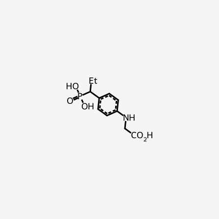 CCC(c1ccc(NCC(=O)O)cc1)P(=O)(O)O